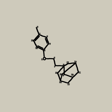 Cc1ccc(OCCC23CC4CC(CC(C4)C2)C3)cc1